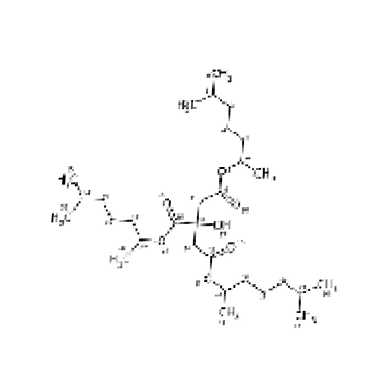 CC(C)CCCC(C)OC(=O)CC(O)(CC(=O)OC(C)CCCC(C)C)C(=O)OC(C)CCCC(C)C